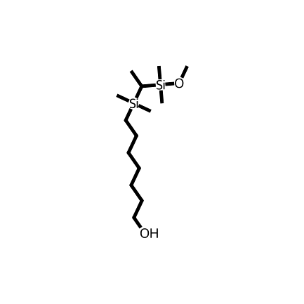 CO[Si](C)(C)C(C)[Si](C)(C)CCCCCCCO